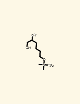 CCCC(CO)CCCCO[Si](C)(C)C(C)(C)C